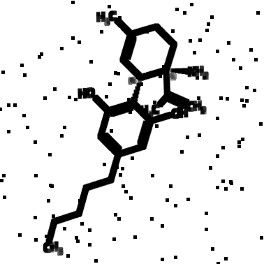 C=C(C)[C@]1(N)CCC(C)=C[C@H]1c1c(O)cc(CCCCC)cc1O